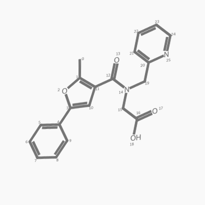 Cc1oc(-c2ccccc2)cc1C(=O)N(CC(=O)O)Cc1ccccn1